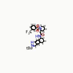 CC(C)(C)NCc1ccc2c(c1)CCC[C@H]2NC(=O)C[C@@H]1CCCCN1S(=O)(=O)c1cccc(C(F)(F)F)c1